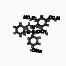 COc1ccc(S(=O)(=O)N(Cc2ccccc2)c2c(C)cc(C(=O)O)cc2C(=O)O)cc1